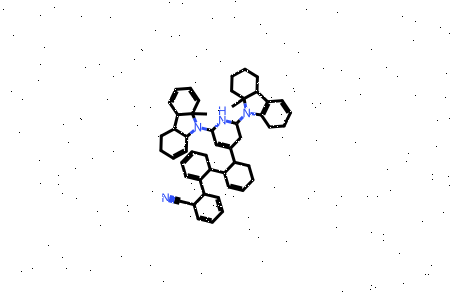 CC12C=CC=CC1C1CCC=CC1N2C1C=C(C2CCC=CC2C2CC=CC=C2C2C=CC=CC2C#N)CC(N2C3=C(C=CCC3)C3CCCCC32C)N1